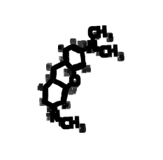 C/N=c1/ccc2cc3ccc(N(C)C)cc3oc-2c1